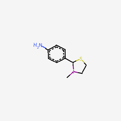 CI1CCSC1c1ccc(N)cc1